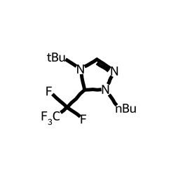 CCCCN1N=CN(C(C)(C)C)C1C(F)(F)C(F)(F)F